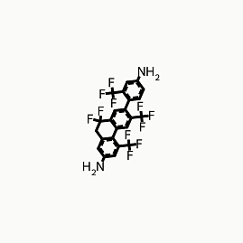 Nc1ccc(-c2cc3c(cc2C(F)(F)F)-c2c(cc(N)cc2C(F)(F)F)CC3(F)F)c(C(F)(F)F)c1